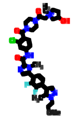 COCCn1ncc(-c2ccc(-c3cnc(C(=O)Nc4ccc(C(=O)N5CCN(C(=O)C[N+]6(C)CCC(O)C6)CC5)c(Cl)c4)n3C)c(F)c2F)c1C